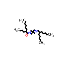 CCCCCCC(CCCC)C(=O)N1CC2(CN(CC(CCCCC)CCCCC)C2)C1